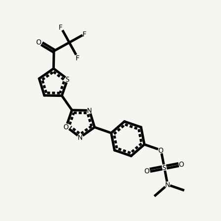 CN(C)S(=O)(=O)Oc1ccc(-c2noc(-c3ccc(C(=O)C(F)(F)F)s3)n2)cc1